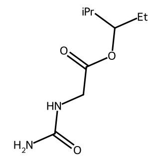 CCC(OC(=O)CNC(N)=O)C(C)C